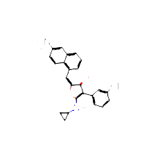 O=C1C(c2cccc(C(F)(F)F)c2)=C(NC2CC2)O/C1=C/c1cccc2cc([N+](=O)[O-])ccc12